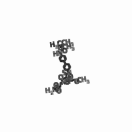 COCCS(=O)(=O)C(C(=O)NCCS(N)(=O)=O)c1nc2ccc(-c3ccc(NC(=O)OC(C)(C)C)cc3)cc2s1